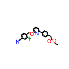 CCOC(=O)Cc1ccc(-c2cccc(OCc3ccc(C#N)cc3F)n2)cc1